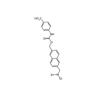 CCN(CC)Cc1ccc2cc(COC(=O)Nc3ccc(C(=O)O)cc3)ccc2c1